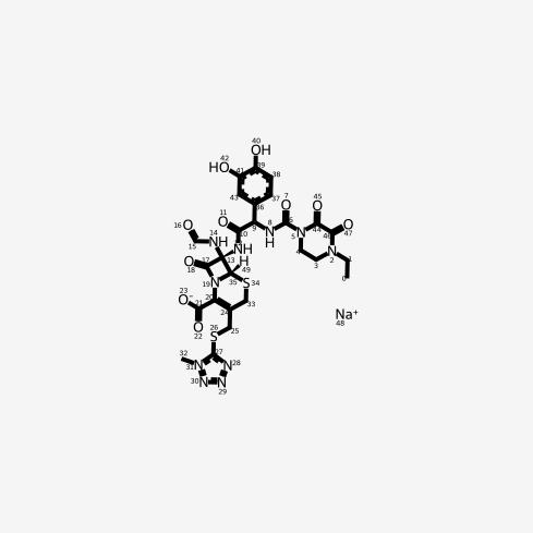 CCN1CCN(C(=O)NC(C(=O)N[C@]2(NC=O)C(=O)N3C(C(=O)[O-])=C(CSc4nnnn4C)CS[C@H]32)c2ccc(O)c(O)c2)C(=O)C1=O.[Na+]